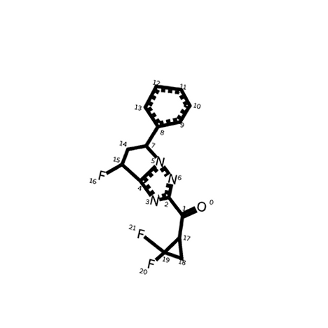 O=C(c1nc2n(n1)C(c1ccccc1)CC2F)C1CC1(F)F